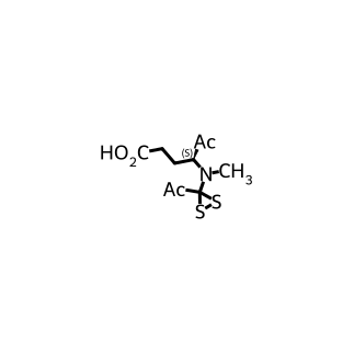 CC(=O)[C@H](CCC(=O)O)N(C)C1(C(C)=O)SS1